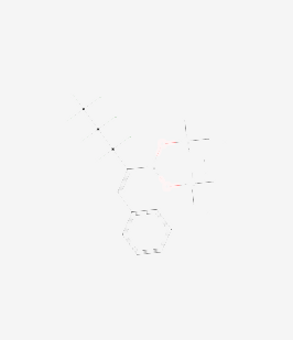 C[Si](C)(C)O[SiH](O[Si](C)(C)C)C(=Cc1ccccc1)C(F)(F)C(F)(F)C(F)(F)F